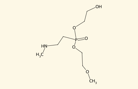 CNCCP(=O)(OCCO)OCCOC